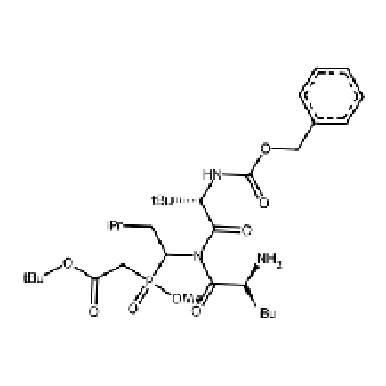 CC[C@H](C)[C@H](N)C(=O)N(C(=O)[C@@H](NC(=O)OCc1ccccc1)C(C)(C)C)C(CC(C)C)P(=O)(CC(=O)OC(C)(C)C)OC